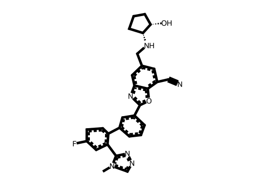 Cn1cnnc1-c1cc(F)ccc1-c1cccc(-c2nc3cc(CN[C@@H]4CCC[C@@H]4O)cc(C#N)c3o2)c1